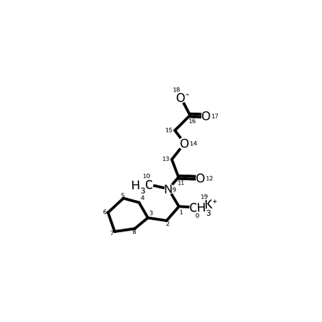 CC(CC1CCCCC1)N(C)C(=O)COCC(=O)[O-].[K+]